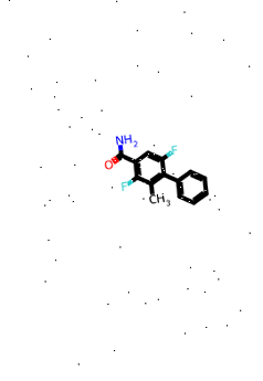 Cc1c(F)c(C(N)=O)cc(F)c1-c1ccccc1